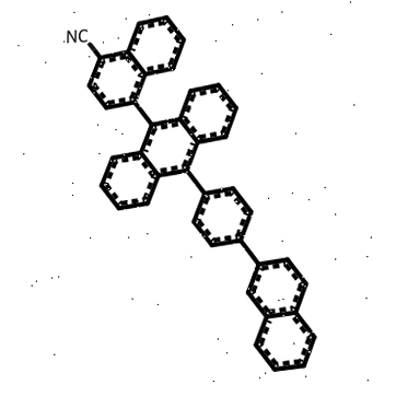 N#Cc1ccc(-c2c3ccccc3c(-c3ccc(-c4ccc5ccccc5c4)cc3)c3ccccc23)c2ccccc12